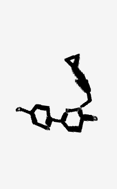 O=c1ccc(-c2ccc(Cl)cn2)nn1CC#CC1CC1